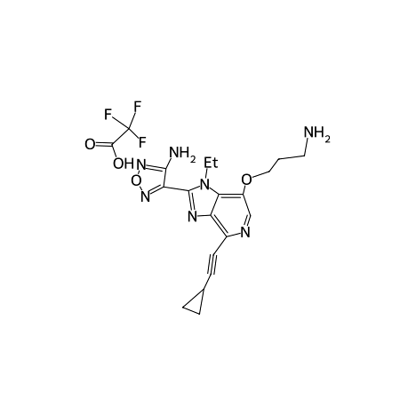 CCn1c(-c2nonc2N)nc2c(C#CC3CC3)ncc(OCCCN)c21.O=C(O)C(F)(F)F